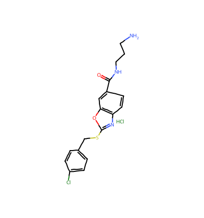 Cl.NCCCNC(=O)c1ccc2nc(SCc3ccc(Cl)cc3)oc2c1